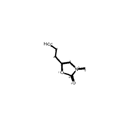 CN1CC(CCO)OC1=O